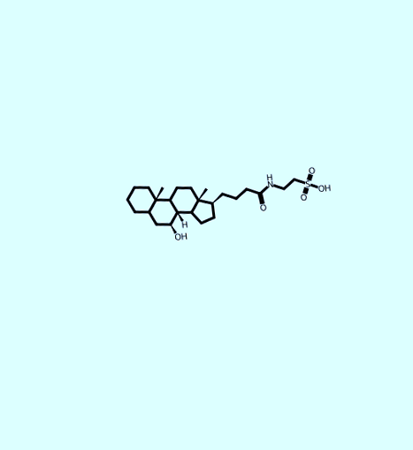 C[C@]12CCCCC1C[C@H](O)[C@@H]1C2CC[C@@]2(C)C1CC[C@@H]2CCCC(=O)NCCS(=O)(=O)O